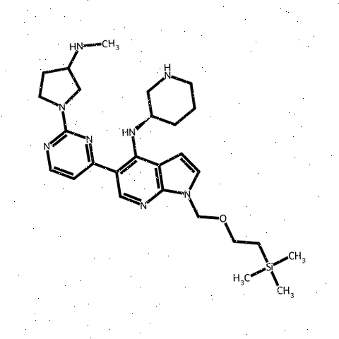 CNC1CCN(c2nccc(-c3cnc4c(ccn4COCC[Si](C)(C)C)c3N[C@@H]3CCCNC3)n2)C1